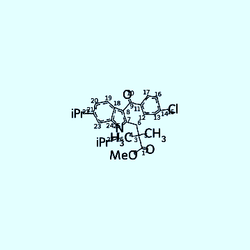 COC(=O)C(C)(C)Cc1c(C(=O)c2ccc(Cl)cc2)c2ccc(C(C)C)cc2n1CC(C)C